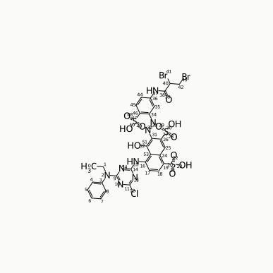 CCN(c1ccccc1)c1nc(Cl)nc(Nc2ccc(S(=O)(=O)O)c3cc(S(=O)(=O)O)c(/N=N/c4cc(NC(=O)C(Br)CBr)ccc4S(=O)(=O)O)c(O)c23)n1